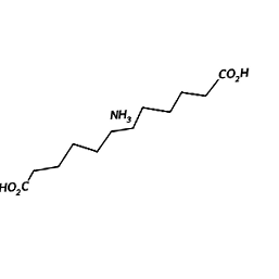 N.O=C(O)CCCCCCCCCCC(=O)O